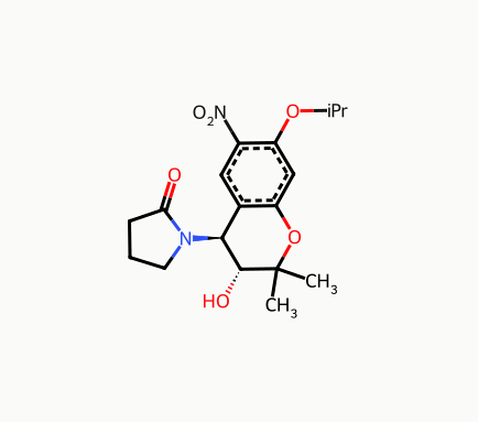 CC(C)Oc1cc2c(cc1[N+](=O)[O-])[C@H](N1CCCC1=O)[C@@H](O)C(C)(C)O2